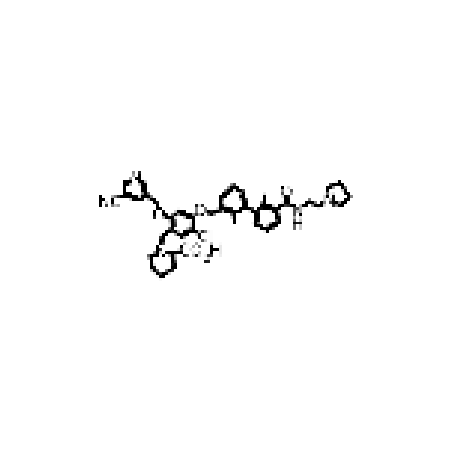 Cc1c(COc2cc(OCc3cncc(C#N)c3)c(CN3CCCCC3C(=O)O)cc2Cl)cccc1-c1cccc(C(=O)NCCN2CCCC2)c1C